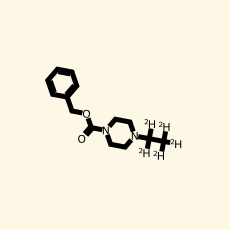 [2H]C([2H])([2H])C([2H])([2H])N1CCN(C(=O)OCc2ccccc2)CC1